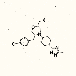 CSCC1CN(C2CCC(c3nc(C)n(C)n3)CC2)C(Cc2ccc(Cl)cc2)CO1